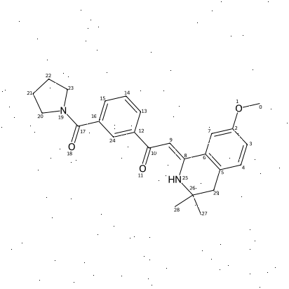 COc1ccc2c(c1)/C(=C/C(=O)c1cccc(C(=O)N3CCCC3)c1)NC(C)(C)C2